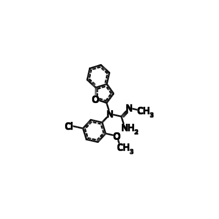 CN=C(N)N(c1cc2ccccc2o1)c1cc(Cl)ccc1OC